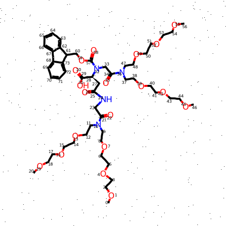 COCCOCCOCCN(CCOCCOCCOC)C(=O)CNC(=O)C[C@@H](C(=O)O)N(CC(=O)N(CCOCCOCCOC)CCOCCOCCOC)C(=O)OCC1c2ccccc2-c2ccccc21